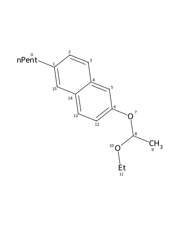 CCCCCc1ccc2cc(OC(C)OCC)ccc2c1